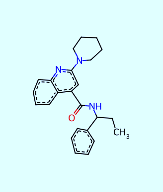 CCC(NC(=O)c1cc(N2CCCCC2)nc2ccccc12)c1ccccc1